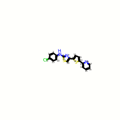 Clc1ccc(Nc2nc(-c3ccc(-c4ccccn4)s3)cs2)cc1